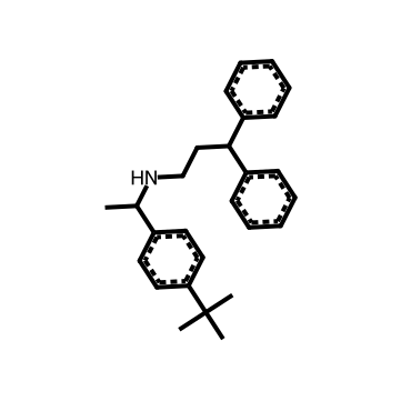 CC(NCCC(c1ccccc1)c1ccccc1)c1ccc(C(C)(C)C)cc1